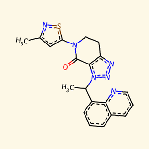 Cc1cc(N2CCc3nnn(C(C)c4cccc5cccnc45)c3C2=O)sn1